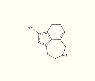 CCCc1cn2c3c1CCC=C3CNCC2